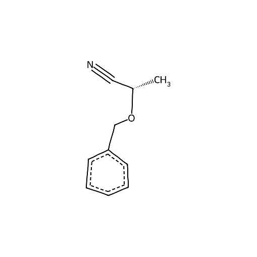 C[C@@H](C#N)OCc1ccccc1